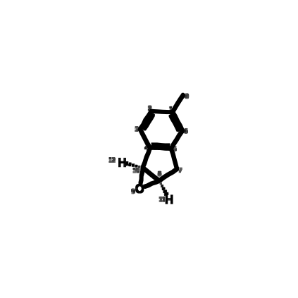 Cc1ccc2c(c1)C[C@H]1O[C@@H]21